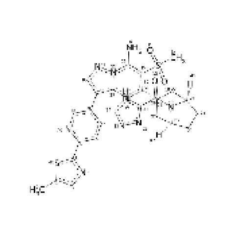 Cc1cnc(-c2ccc(-c3cnn4c(N)c(S(C)(=O)=O)c([C@@H]5C[C@H]6CC[C@@H](C5)N6C(=O)c5nnc[nH]5)nc34)cn2)s1